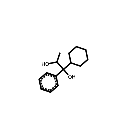 CC(O)C(O)(c1ccccc1)C1CCCCC1